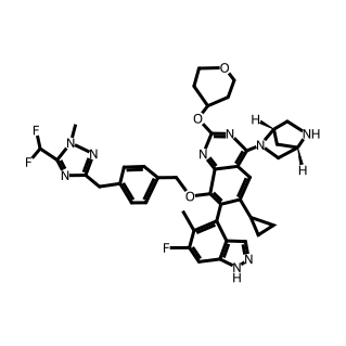 Cc1c(F)cc2[nH]ncc2c1-c1c(C2CC2)cc2c(N3C[C@@H]4C[C@H]3CN4)nc(OC3CCOCC3)nc2c1OCc1ccc(Cc2nc(C(F)F)n(C)n2)cc1